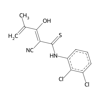 C=C(C)/C(O)=C(\C#N)C(=S)Nc1cccc(Cl)c1Cl